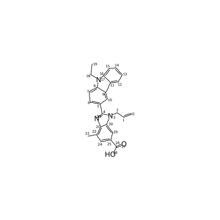 C=CCn1c(-c2ccc3c(c2)c2ccccc2n3CC)nc2c(C)cc(C(=O)O)cc21